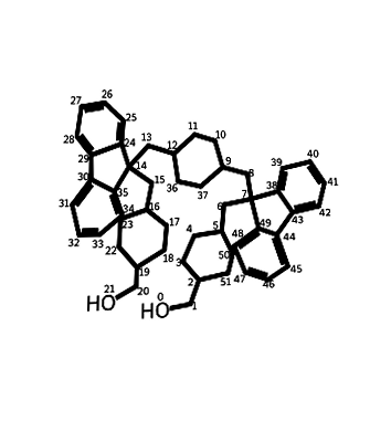 OCC1CCC(CC2(CC3CCC(CC4(CC5CCC(CO)CC5)c5ccccc5-c5ccccc54)CC3)c3ccccc3-c3ccccc32)CC1